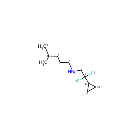 CC(C)CCCNCC(F)(F)C1CC1